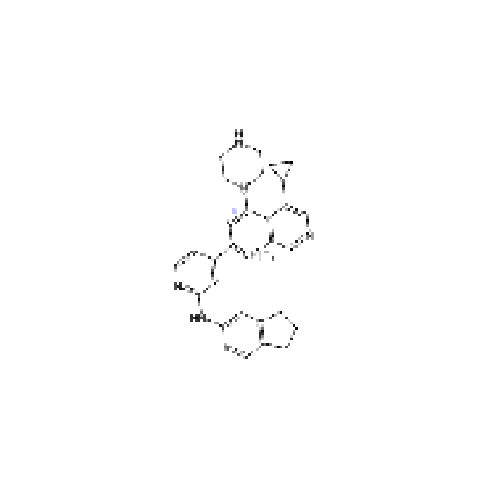 C=C(/N=C(\c1c(N)cncc1C1CC1)N1CCNCC1)c1ccnc(Nc2ccc3c(c2)CCC3)c1